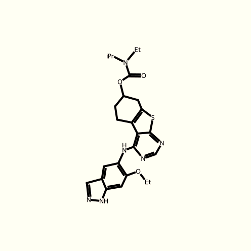 CCOc1cc2[nH]ncc2cc1Nc1ncnc2sc3c(c12)CCC(OC(=O)N(CC)C(C)C)C3